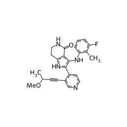 COC(C)C#Cc1cnccc1-c1[nH]c2c(c1Nc1cccc(F)c1C)C(=O)NCC2